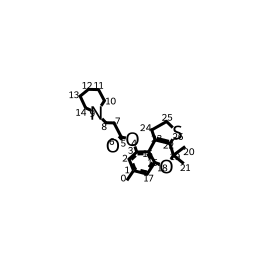 Cc1cc(OC(=O)CCN2CCCCC2)c2c(c1)OC(C)(C)C1=C2CCS1